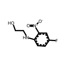 O=[N+]([O-])c1cc(F)ccc1NCCO